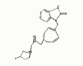 O=C(Cc1ccc(Cn2c(=O)[nH]c3ccccc32)cc1)N1CCC(F)C1